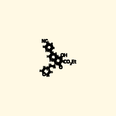 CCOC(=O)c1c(O)c2cc(-c3ccc(C#N)cn3)cnc2n(CCN2CCOCC2)c1=O